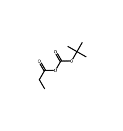 CCC(=O)OC(=O)OC(C)(C)C